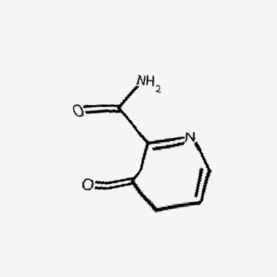 NC(=O)C1=NC=CCC1=O